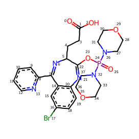 O=C(O)CCC1N=C(c2ccccn2)c2cc(Br)ccc2N=C1OP(=O)(N1CCOCC1)N1CCOCC1